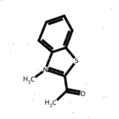 CC(=O)c1sc2ccccc2[n+]1C